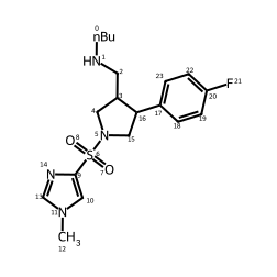 CCCCNCC1CN(S(=O)(=O)c2cn(C)cn2)CC1c1ccc(F)cc1